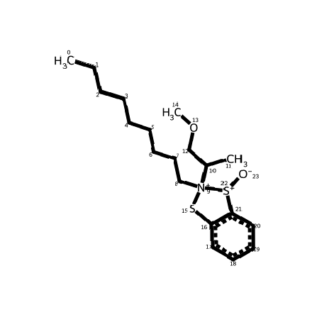 CCCCCCCCC[N+]1(C(C)COC)Sc2ccccc2[S+]1[O-]